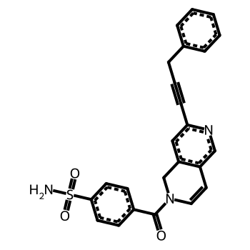 NS(=O)(=O)c1ccc(C(=O)N2C=Cc3cnc(C#CCc4ccccc4)cc3C2)cc1